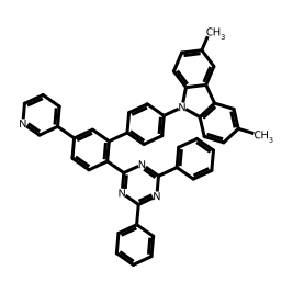 Cc1ccc2c(c1)c1cc(C)ccc1n2-c1ccc(-c2cc(-c3cccnc3)ccc2-c2nc(-c3ccccc3)nc(-c3ccccc3)n2)cc1